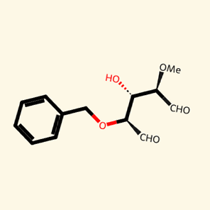 CO[C@@H](C=O)[C@@H](O)[C@@H](C=O)OCc1ccccc1